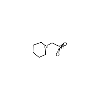 O=[SH](=O)CN1C[CH]CCC1